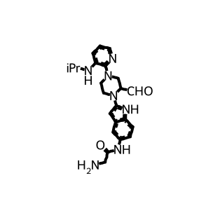 CC(C)Nc1cccnc1N1CCN(c2cc3cc(NC(=O)CN)ccc3[nH]2)C(C=O)C1